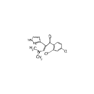 CN(C)/C=C(/C(=O)c1ccc(Cl)cc1Cl)c1cc[nH]n1